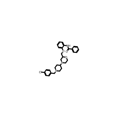 O=C(Nc1ccccc1OCC1CN(C2CCN(Cc3ccc(Cl)cc3)CC2)CCO1)c1ccccc1